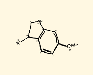 COc1ccc2c(c1)NCC2C#N